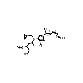 C=N/C=C\C=C(/C)n1cc(N(CC2CC2)C(=O)CC(CC(C)C)SC)c(Cl)n1